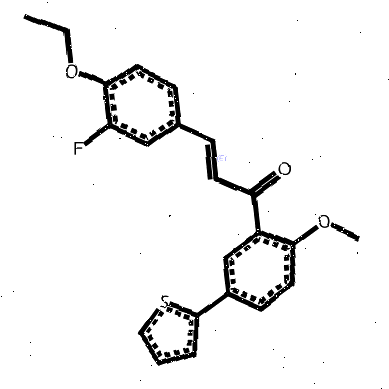 CCOc1ccc(/C=C/C(=O)c2cc(-c3cccs3)ccc2OC)cc1F